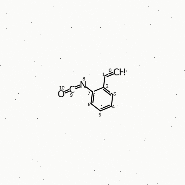 [CH]=Cc1ccccc1N=C=O